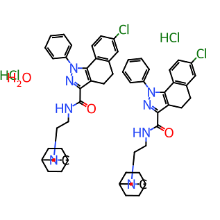 Cl.Cl.O.O=C(NCCN1CC2CCC(CC2)C1)c1nn(-c2ccccc2)c2c1CCc1cc(Cl)ccc1-2.O=C(NCCN1CC2CCC(CC2)C1)c1nn(-c2ccccc2)c2c1CCc1cc(Cl)ccc1-2